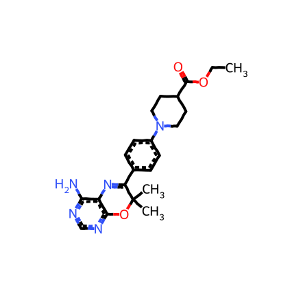 CCOC(=O)C1CCN(c2ccc(C3=Nc4c(N)ncnc4OC3(C)C)cc2)CC1